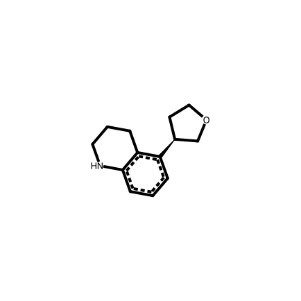 c1cc2c(c([C@H]3CCOC3)c1)CCCN2